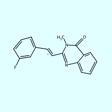 Cn1c(/C=C/c2cccc(F)c2)nc2ccccc2c1=O